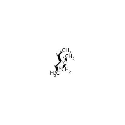 C=C=C.C=CC=CC